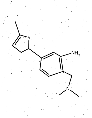 CC1=CCC(c2ccc(CN(C)C)c(N)c2)S1